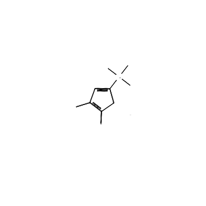 CC1=[C]([Ti])CC([Si](C)(C)C)=C1.Cl.Cl